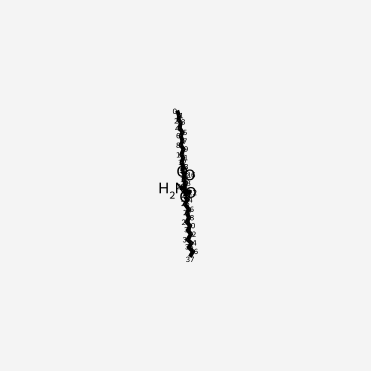 CCCCCCCCCCCCCCOC(=O)CCC(N)C(=O)OCCCCCCCCCCCCCC